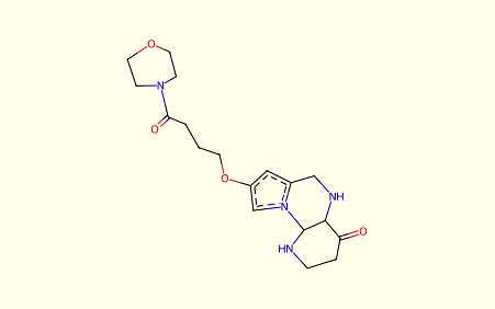 O=C1CCNC2C1NCc1cc(OCCCC(=O)N3CCOCC3)cn12